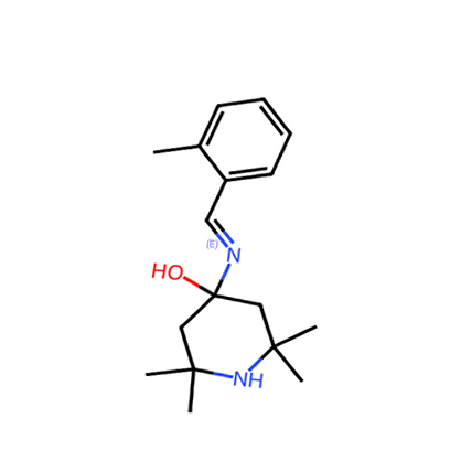 Cc1ccccc1/C=N/C1(O)CC(C)(C)NC(C)(C)C1